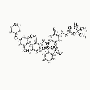 Cc1cc(OC2CCSCC2)cc(C)c1-c1cccc(CN(c2ccc(CCC(=O)OC(C)(C)C)c(F)c2)S(=O)(=O)c2ccccc2[N+](=O)[O-])c1